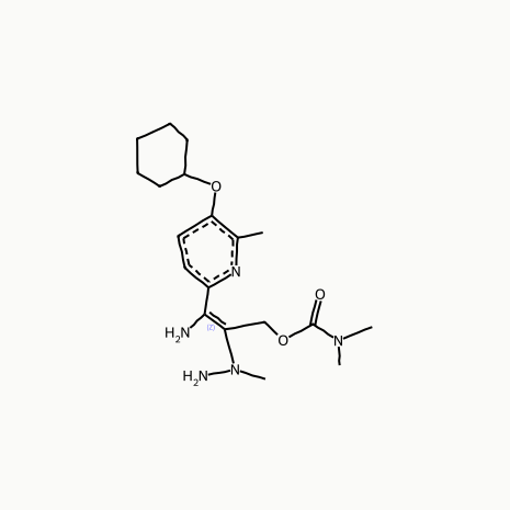 Cc1nc(/C(N)=C(\COC(=O)N(C)C)N(C)N)ccc1OC1CCCCC1